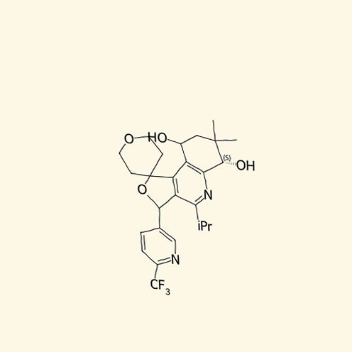 CC(C)c1nc2c(c3c1C(c1ccc(C(F)(F)F)nc1)OC31CCOCC1)C(O)CC(C)(C)[C@@H]2O